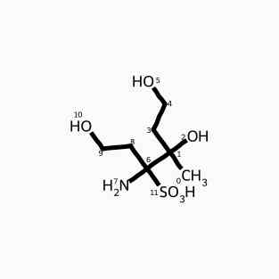 CC(O)(CCO)C(N)(CCO)S(=O)(=O)O